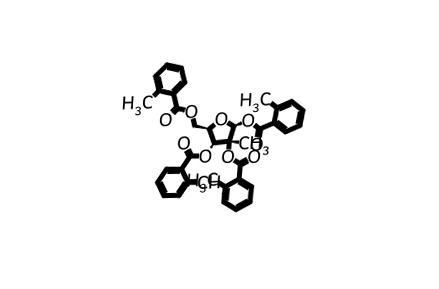 Cc1ccccc1C(=O)OC[C@H]1O[C@@H](OC(=O)c2ccccc2C)[C@](C)(OC(=O)c2ccccc2C)[C@@H]1OC(=O)c1ccccc1C